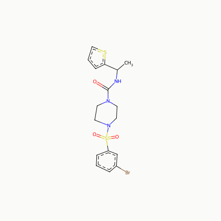 CC(NC(=O)N1CCN(S(=O)(=O)c2cccc(Br)c2)CC1)c1cccs1